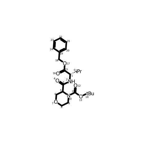 CC(C)[C@H](NC(=O)C1COCCN1C(=O)OC(C)(C)C)C(=O)OCc1ccccc1